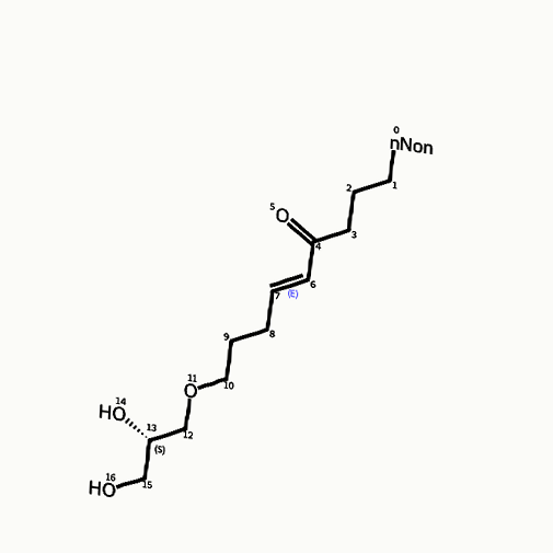 CCCCCCCCCCCCC(=O)/C=C/CCCOC[C@@H](O)CO